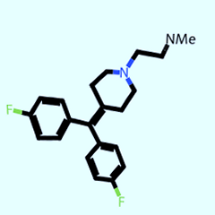 CNCCN1CCC(=C(c2ccc(F)cc2)c2ccc(F)cc2)CC1